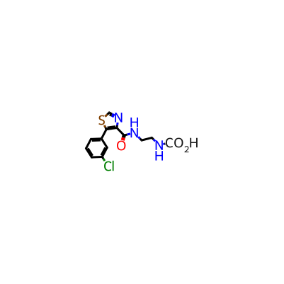 O=C(O)NCCNC(=O)c1ncsc1-c1cccc(Cl)c1